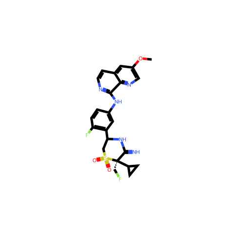 COc1cnc2c(Nc3ccc(F)c(C4CS(=O)(=O)[C@](CF)(C5CC5)C(=N)N4)c3)nccc2c1